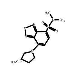 CN(C)S(=O)(=O)c1ccc(N2CC[C@H](N)C2)c2nonc12